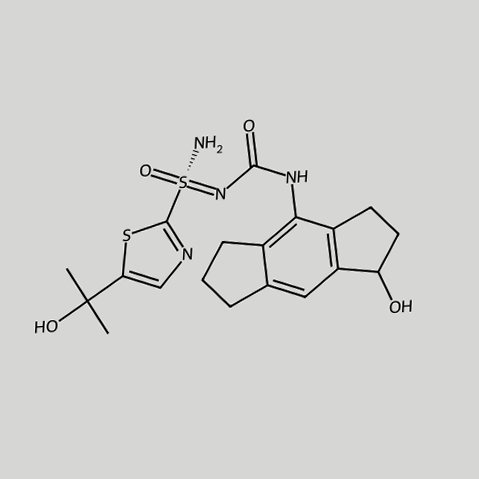 CC(C)(O)c1cnc([S@@](N)(=O)=NC(=O)Nc2c3c(cc4c2CCC4O)CCC3)s1